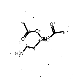 CC(=O)O[SiH](CCN)OC(C)=O